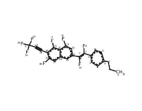 CCCc1ccc(/C(F)=C(\F)c2cc(F)c3c(F)c(C#CC(F)(F)F)c(F)cc3c2)cc1